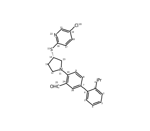 CC(C)c1ccccc1-c1ccc(N2CC[C@H](Sc3ccc(Cl)cn3)C2)c(C=O)c1